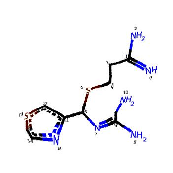 N=C(N)CCSC(N=C(N)N)c1cscn1